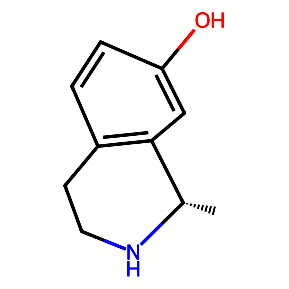 C[C@@H]1NCCc2ccc(O)cc21